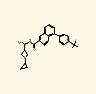 C[C@@H](NC(=O)c1ccc2c(-c3ccc(C(F)(F)F)cc3)cccc2c1)C1CN(C2CC2)C1